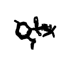 CSc1ccc(C)cc1S(=O)(=O)NC(C)(C)C